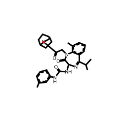 Cc1cccc(NC(=O)NC2N=C(C(C)C)c3cccc(C)c3N(CC(=O)N3CC4CCC(CC4)C3)C2=O)c1